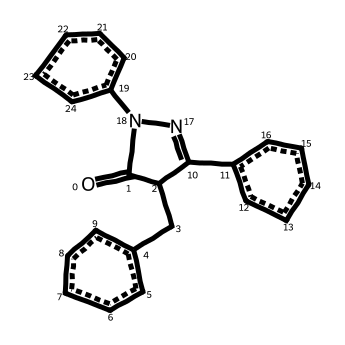 O=C1C(Cc2ccccc2)C(c2ccccc2)=NN1c1ccccc1